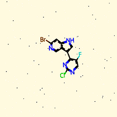 Fc1cnc(Cl)nc1-c1c[nH]c2cc(Br)ncc12